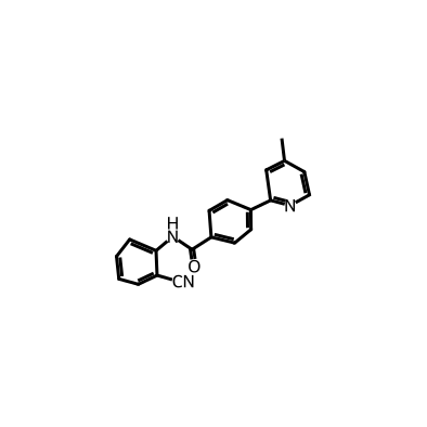 Cc1ccnc(-c2ccc(C(=O)Nc3ccccc3C#N)cc2)c1